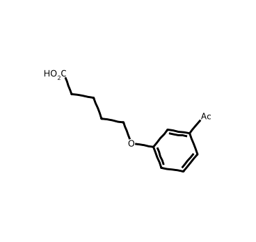 CC(=O)c1cccc(OCCCCC(=O)O)c1